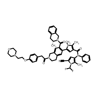 Cc1c(C(=O)N(c2ccccc2)c2cc(C#N)n(C(F)F)c2C)cc(-c2cc3c(cc2C(=O)N2Cc4ccccc4C[C@H]2C)CN(C(=O)Cc2ccc(OCCN4CCOCC4)cc2)CC3)n1C